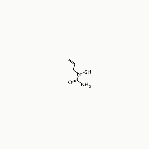 C=CCN(S)C(N)=O